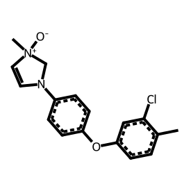 Cc1ccc(Oc2ccc(N3C=C[N+](C)([O-])C3)cc2)cc1Cl